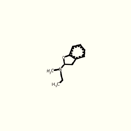 CCN(C)C1Cc2ccccc2O1